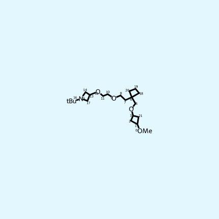 COC1CC(OCC2(CCOCCOC3CN(C(C)(C)C)C3)CCC2)C1